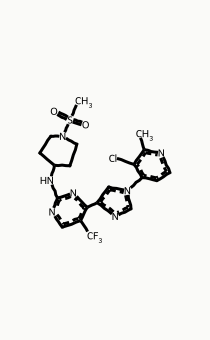 Cc1nccc(-n2cnc(-c3nc(NC4CCN(S(C)(=O)=O)CC4)ncc3C(F)(F)F)c2)c1Cl